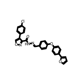 O=C(NN=Cc1ccc(Oc2ccc(-c3ccco3)cc2)cc1)c1nocc1-c1ccc(Cl)cc1